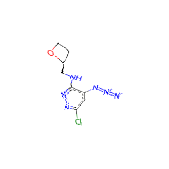 [N-]=[N+]=Nc1cc(Cl)nnc1NC[C@@H]1CCO1